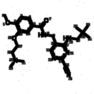 COc1ccc(C(=O)NCc2cnc(C#N)nc2NCC(C)(C)C)cc1OCCN(C)C